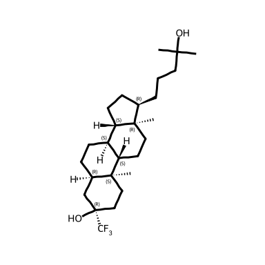 CC(C)(O)CCC[C@@H]1CC[C@H]2[C@@H]3CC[C@@H]4C[C@@](O)(C(F)(F)F)CC[C@]4(C)[C@H]3CC[C@]12C